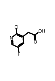 O=C(O)Cc1cc(F)cnc1Cl